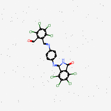 O=Cc1c(Cl)c(Cl)c(Cl)c(Cl)c1/C=N/c1ccc(/N=C2\NC(=O)c3c(Cl)c(Cl)c(Cl)c(Cl)c32)cc1